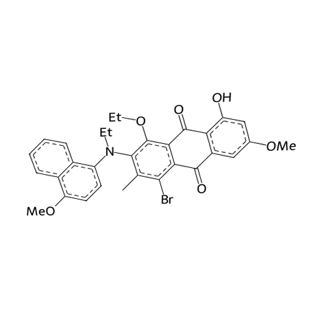 CCOc1c2c(c(Br)c(C)c1N(CC)c1ccc(OC)c3ccccc13)C(=O)c1cc(OC)cc(O)c1C2=O